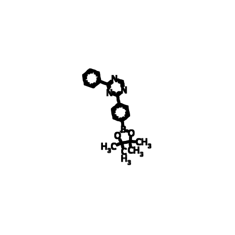 CC1(C)OB(c2ccc(-c3ncnc(-c4ccccc4)n3)cc2)OC1(C)C